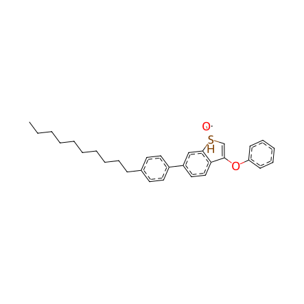 CCCCCCCCCCc1ccc(-c2ccc3c(c2)[SH]([O])C=C3Oc2ccccc2)cc1